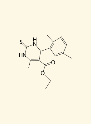 CCOC(=O)C1=C(C)NC(=S)NC1c1cc(C)ccc1C